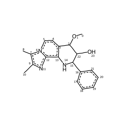 COC1c2ccn3c(C)c(C)nc3c2NC(c2ccccc2)C1O